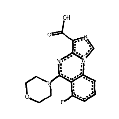 O=C(O)c1ncn2c1nc(N1CCOCC1)c1c(F)cccc12